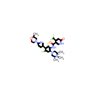 CC1CN(c2ccc(-c3c(F)cc(N4C[C@@H](C)N(C)[C@@H](C)C4)c(NC(=O)c4c[nH]c(=O)cc4C(F)F)c3F)cn2)CCO1